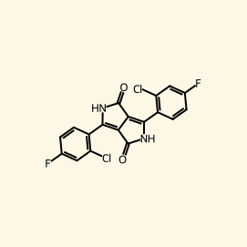 O=C1NC(c2ccc(F)cc2Cl)=C2C(=O)NC(c3ccc(F)cc3Cl)=C12